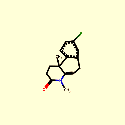 CN1C(=O)CCC2(C)C1=CCc1cc(F)ccc12